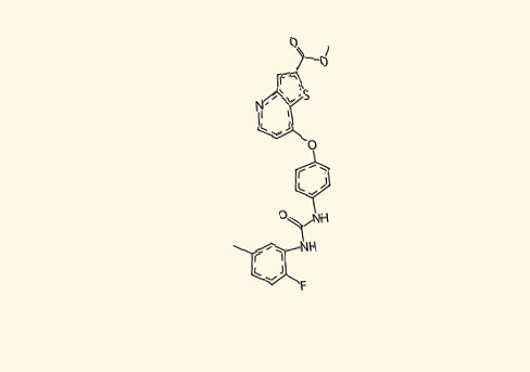 COC(=O)c1cc2nccc(Oc3ccc(NC(=O)Nc4cc(C)ccc4F)cc3)c2s1